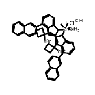 CCCC1(CC2=Cc3c(-c4ccc5ccccc5c4)cccc3[CH]2[Zr]([CH3])([CH3])(=[SiH2])[CH]2C(CC3(CCC)CCC3)=Cc3c(-c4ccc5ccccc5c4)cccc32)CCC1.Cl.Cl